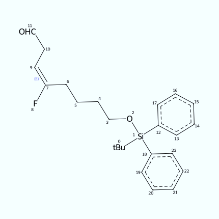 CC(C)(C)[Si](OCCCC/C(F)=C\CC=O)(c1ccccc1)c1ccccc1